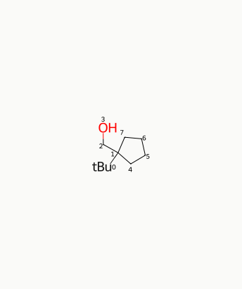 CC(C)(C)C1(CO)CCCC1